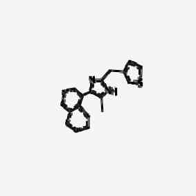 Cc1[nH]c(Cc2ccsc2)nc1-c1cccc2ccccc12